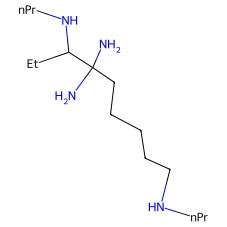 CCCNCCCCCC(N)(N)C(CC)NCCC